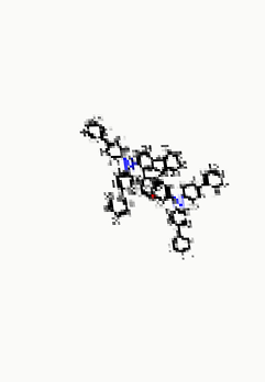 c1ccc(-c2ccc(N(c3ccc(-c4ccccc4)cc3)c3cccc(C45c6ccccc6-c6ccc(N(c7ccc(-c8ccccc8)cc7)c7ccc(-c8ccccc8)cc7)c(c64)-c4ccccc45)c3)cc2)cc1